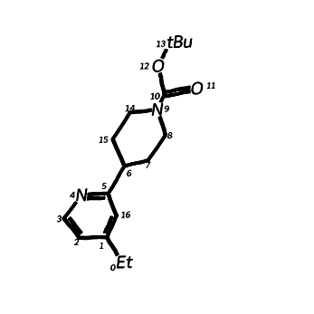 CCc1ccnc(C2CCN(C(=O)OC(C)(C)C)CC2)c1